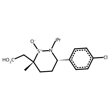 CC(C)N1[C@H](c2ccc(Cl)cc2)CC[C@](C)(CC(=O)O)[S+]1[O-]